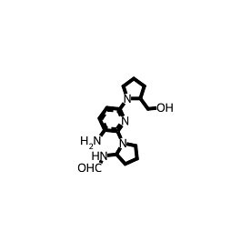 Nc1ccc(N2CCCC2CO)nc1N1CCCC1NC=O